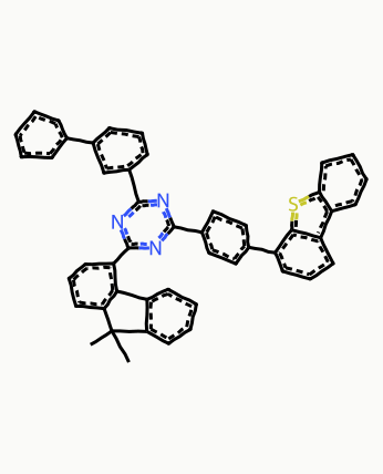 CC1(C)c2ccccc2-c2c(-c3nc(-c4ccc(-c5cccc6c5sc5ccccc56)cc4)nc(-c4cccc(-c5ccccc5)c4)n3)cccc21